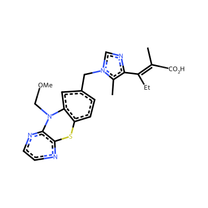 CCC(=C(C)C(=O)O)c1ncn(Cc2ccc3c(c2)N(COC)c2nccnc2S3)c1C